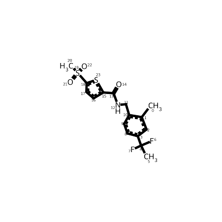 Cc1cc(C(C)(F)F)ccc1CNC(=O)c1ccc(S(C)(=O)=O)s1